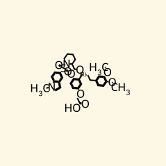 COc1ccc(CC[C@@H](OC(=O)C2CCCCN2S(=O)(=O)c2ccc3c(ccn3C)c2)c2cccc(OCC(=O)O)c2)cc1OC